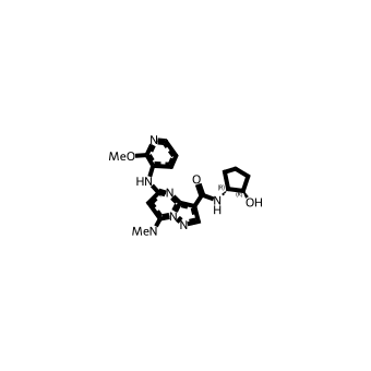 CNc1cc(Nc2cccnc2OC)nc2c(C(=O)N[C@@H]3CCC[C@H]3O)cnn12